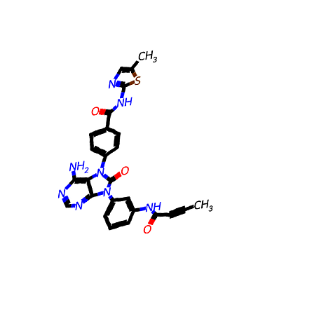 CC#CC(=O)Nc1cccc(-n2c(=O)n(-c3ccc(C(=O)Nc4ncc(C)s4)cc3)c3c(N)ncnc32)c1